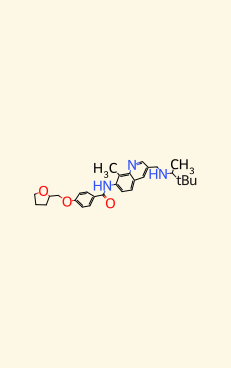 Cc1c(NC(=O)c2ccc(OCC3CCCO3)cc2)ccc2cc(CNC(C)C(C)(C)C)cnc12